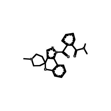 CN1CCC2(CC1)Oc1ccccc1-c1c2cnn1C(=O)c1ccccc1C(=O)N(C)C